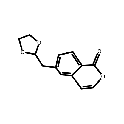 O=c1occc2cc(CC3OCCO3)ccc12